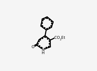 CCOC(=O)c1c[nH]c(=O)cc1-c1ccccc1